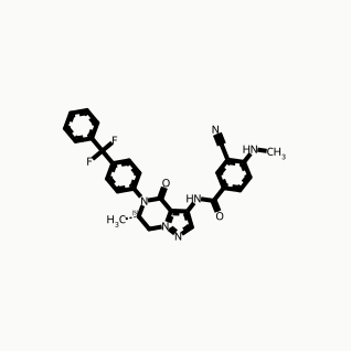 CNc1ccc(C(=O)Nc2cnn3c2C(=O)N(c2ccc(C(F)(F)c4ccccc4)cc2)[C@@H](C)C3)cc1C#N